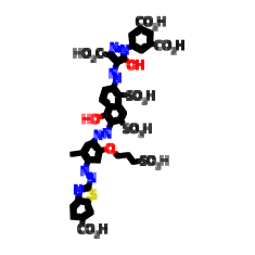 Cc1cc(N=Nc2c(S(=O)(=O)O)cc3c(S(=O)(=O)O)c(N=Nc4c(C(=O)O)nn(-c5cc(C(=O)O)cc(C(=O)O)c5)c4O)ccc3c2O)c(OCCCS(=O)(=O)O)cc1N=Nc1nc2ccc(C(=O)O)cc2s1